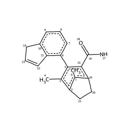 Cc1c2c(C)c(-c3cccc4c3C=CC4)c(C([NH])=O)c1CC2